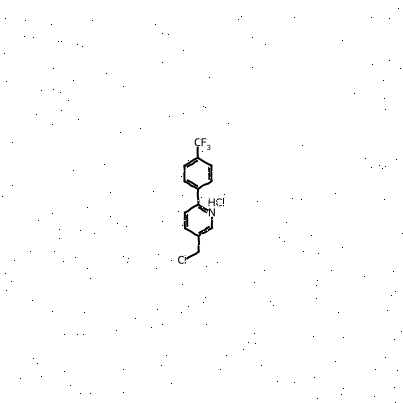 Cl.FC(F)(F)c1ccc(-c2ccc(CCl)cn2)cc1